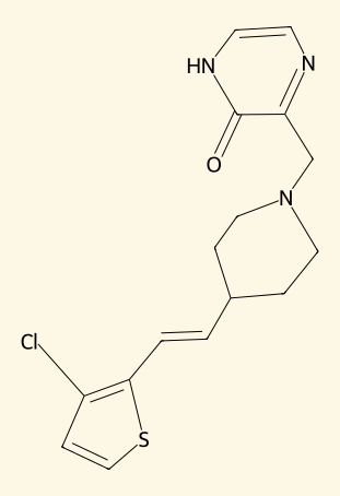 O=c1[nH]ccnc1CN1CCC(C=Cc2sccc2Cl)CC1